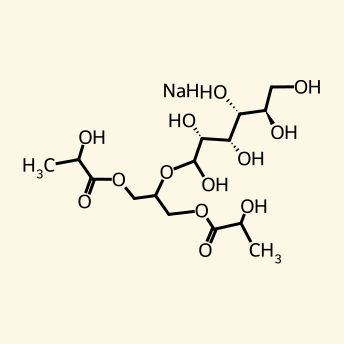 CC(O)C(=O)OCC(COC(=O)C(C)O)OC(O)[C@H](O)[C@@H](O)[C@H](O)[C@H](O)CO.[NaH]